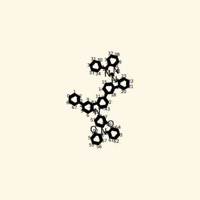 c1ccc(-c2ccc3c(c2)c2cc(-c4ccc5c(c4)c4ccccc4n5-c4nc(-c5ccccc5)c5ccccc5n4)ccc2n3-c2cc3c4c(c2)Oc2ccccc2N4c2ccccc2O3)cc1